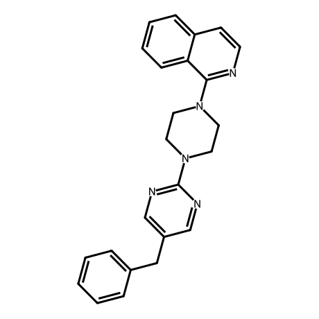 c1ccc(Cc2cnc(N3CCN(c4nccc5ccccc45)CC3)nc2)cc1